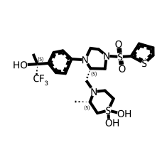 C[C@H]1CS(O)(O)CCN1C[C@H]1CN(S(=O)(=O)c2cccs2)CCN1c1ccc([C@](C)(O)C(F)(F)F)cc1